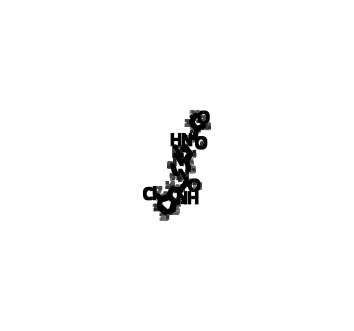 O=C(Nc1cc2n(n1)CCN(C(=O)c1cc3c(Cl)cccc3[nH]1)C2)C1CCOC1